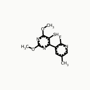 COc1nc(OC)c(S)c(-c2cc(C)cnc2F)n1